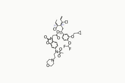 C=C/C(Cl)=C(C[C@H](OC(=O)Cn1c(=O)oc2cc(N(CCN3CCOCC3)S(C)(=O)=O)ccc21)c1ccc(OC(F)F)c(OCC2CC2)c1)\C(Cl)=C/C